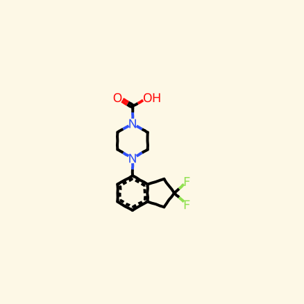 O=C(O)N1CCN(c2cccc3c2CC(F)(F)C3)CC1